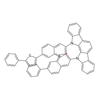 c1ccc(-c2ccc3cc(-n4c5ccccc5c5ccc6c7ccccc7n(-c7ccc8cc(-c9ccc(-c%10ccccc%10)s9)ccc8c7)c6c54)ccc3c2)cc1